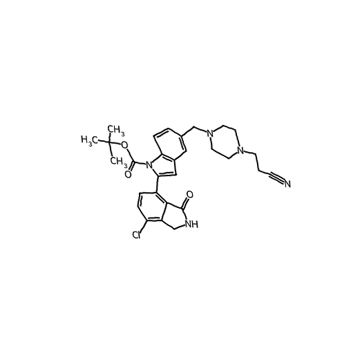 CC(C)(C)OC(=O)n1c(-c2ccc(Cl)c3c2C(=O)NC3)cc2cc(CN3CCN(CCC#N)CC3)ccc21